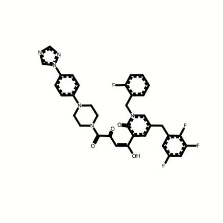 O=C(/C=C(/O)c1cc(Cc2cc(F)cc(F)c2F)cn(Cc2ccccc2F)c1=O)C(=O)N1CCN(c2ccc(-n3cncn3)cc2)CC1